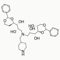 O[C@H]([C@@H](O)CN(CC1CCNCC1)C[C@H](O)[C@@H](O)[C@@H]1OC(c2ccccc2)OC[C@H]1O)[C@H]1CCOC(c2ccccc2)O1